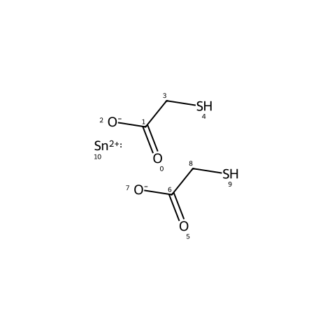 O=C([O-])CS.O=C([O-])CS.[Sn+2]